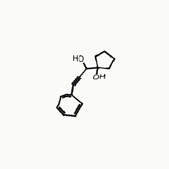 OC(C#Cc1ccccc1)C1(O)CCCC1